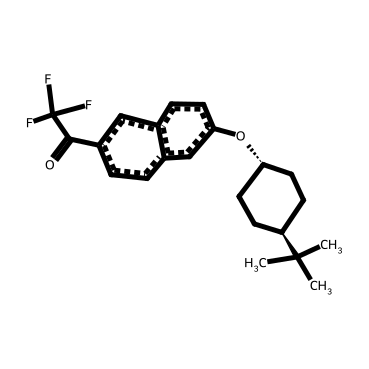 CC(C)(C)[C@H]1CC[C@H](Oc2ccc3cc(C(=O)C(F)(F)F)ccc3c2)CC1